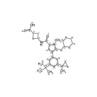 Cn1c(C(=O)NC2CC(C(=O)O)C2)cc(-c2cc(C(C)(C)C)cc(C3(C)CC3)c2)c1CC1CCCCC1